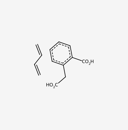 C=CC=C.O=C(O)Cc1ccccc1C(=O)O